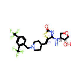 O=C1N=C(N[C@H]2COC[C@@H]2O)/C(=C/C2CCN(Cc3ccc(C(F)(F)F)cc3C(F)(F)F)CC2)S1